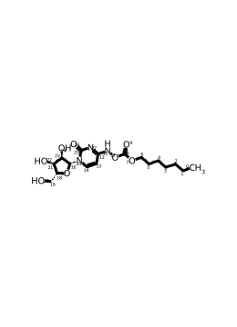 CCCCCCCOC(=O)ONc1ccn([C@@H]2O[C@H](CO)[C@@H](O)[C@H]2O)c(=O)n1